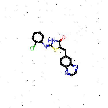 O=C1N/C(=N\c2ccccc2Cl)S/C1=C\c1ccc2nccnc2c1